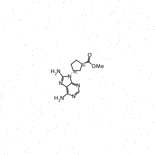 COC(=O)[C@@H]1CC[C@@H](n2c(N)nc3c(N)ncnc32)C1